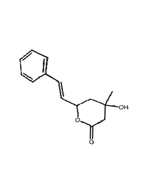 CC1(O)CC(=O)OC(C=Cc2ccccc2)C1